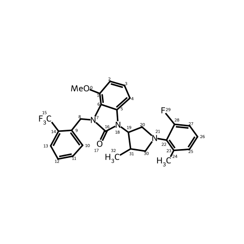 COc1cccc2c1n(Cc1ccccc1C(F)(F)F)c(=O)n2C1CN(c2c(C)cccc2F)CC1C